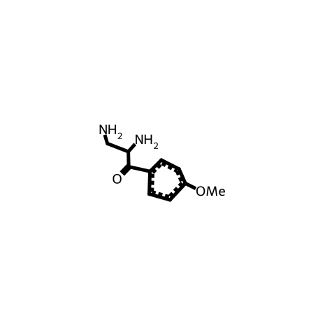 COc1ccc(C(=O)C(N)CN)cc1